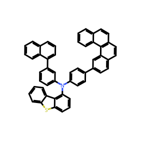 c1cc(-c2cccc3ccccc23)cc(N(c2ccc(-c3ccc4ccc5ccc6ccccc6c5c4c3)cc2)c2cccc3sc4ccccc4c23)c1